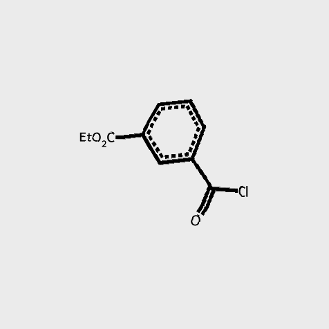 CCOC(=O)c1cccc(C(=O)Cl)c1